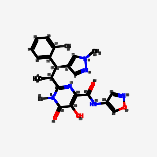 CCn1c([C@@H](C)[C@@H](c2cnn(C)c2)c2ccccc2C#N)nc(C(=O)Nc2cnoc2)c(O)c1=O